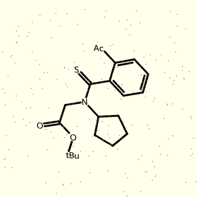 CC(=O)c1ccccc1C(=S)N(CC(=O)OC(C)(C)C)C1CCCC1